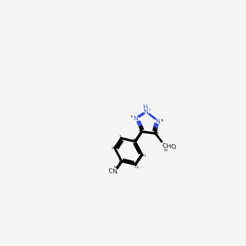 [C-]#[N+]c1ccc(-c2n[nH]nc2C=O)cc1